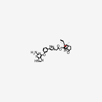 C=C[C@@]1(C)C[C@H](C)[C@]23CCC(=O)[C@H]2[C@@](C)([C@H](C)CC3)[C@H](OC(=O)Cn2cc(-c3cccc(Oc4nc(N)nc5[nH]cnc45)c3)nn2)C1